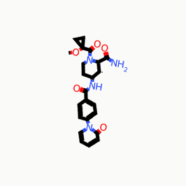 COC1(C(=O)N2CCC(NC(=O)c3ccc(-n4ccccc4=O)cc3)[CH]C2C(N)=O)CC1